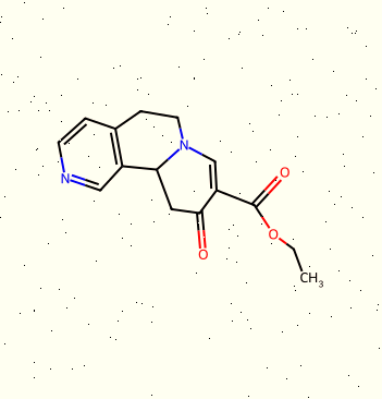 CCOC(=O)C1=CN2CCc3ccncc3C2CC1=O